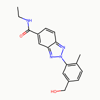 CCNC(=O)c1ccc2nn(-c3cc(CO)ccc3C)nc2c1